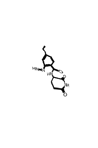 CCc1ccc(C(=O)NC2CCC(=O)NC2=O)c(N=N)c1